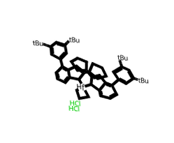 CC(C)(C)c1cc(-c2cccc3c2C=C(C2CCCC2)[CH]3[Hf]2([CH]3C(C4CCCC4)=Cc4c(-c5cc(C(C)(C)C)cc(C(C)(C)C)c5)cccc43)[CH2]C[CH2]2)cc(C(C)(C)C)c1.Cl.Cl